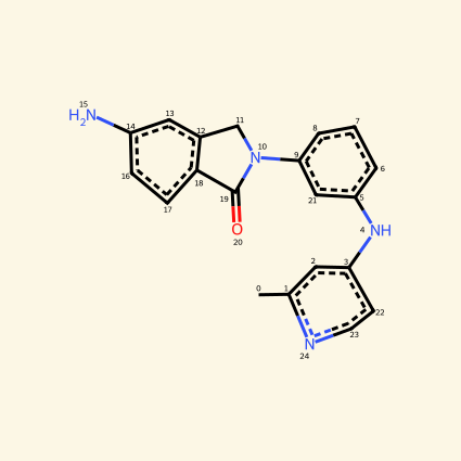 Cc1cc(Nc2cccc(N3Cc4cc(N)ccc4C3=O)c2)ccn1